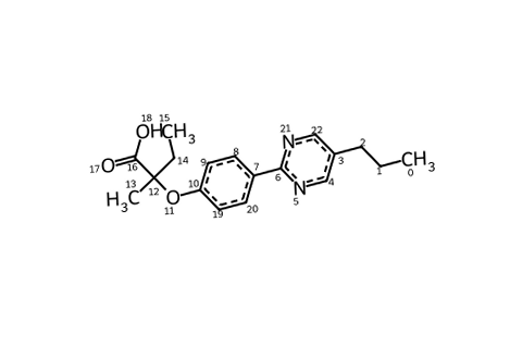 CCCc1cnc(-c2ccc(OC(C)(CC)C(=O)O)cc2)nc1